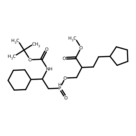 COC(=O)C(CCC1CCCC1)CO[PH](=O)CC(NC(=O)OC(C)(C)C)C1CCCCC1